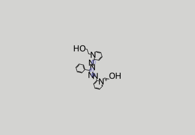 OCCn1cccc\c1=N/N=C(/N=N/c1cccc[n+]1CCO)c1ccccc1